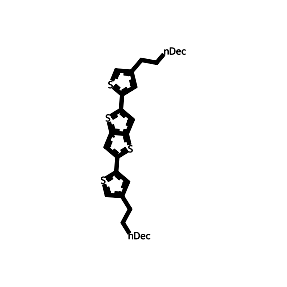 CCCCCCCCCCCCc1csc(-c2cc3sc(-c4cc(CCCCCCCCCCCC)cs4)cc3s2)c1